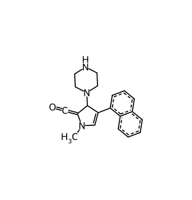 CN1C=C(c2cccc3ccccc23)C(N2CCNCC2)C1=C=O